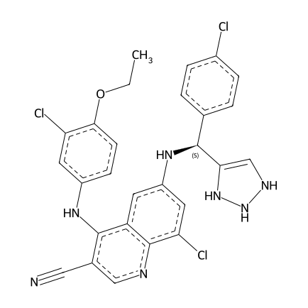 CCOc1ccc(Nc2c(C#N)cnc3c(Cl)cc(N[C@H](C4=CNNN4)c4ccc(Cl)cc4)cc23)cc1Cl